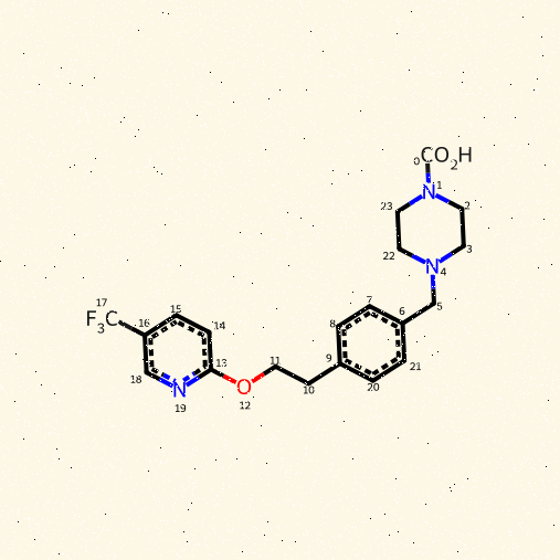 O=C(O)N1CCN(Cc2ccc(CCOc3ccc(C(F)(F)F)cn3)cc2)CC1